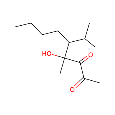 CCCCC(C(C)C)C(C)(O)C(=O)C(C)=O